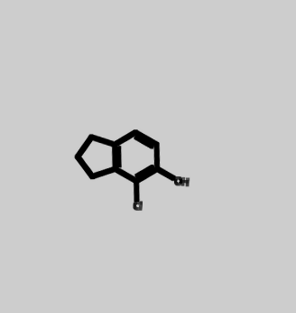 Oc1ccc2c(c1Cl)CCC2